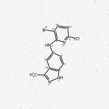 Cc1n[nH]c2ccc(Nc3nc(Cl)ncc3Br)cc12